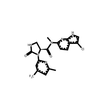 Cc1cc(C(F)(F)F)cc(N2C(=O)NC[C@H]2C(=O)N(C)c2ccc3c(Cl)c[nH]c3n2)n1